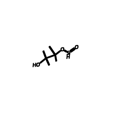 CC(C)(O)C(C)(C)O[SiH]=O